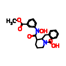 COC(=O)c1cccc(N(O)C(=O)C2CCCN(C(=O)O)C2Cc2ccccc2)c1